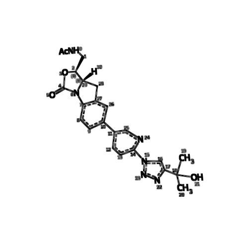 CC(=O)NC[C@@H]1OC(=O)N2c3ccc(-c4ccc(-n5cc(C(C)(C)O)nn5)nc4)cc3C[C@@H]12